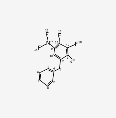 Fc1c(Cc2ccccc2)cc(N(F)F)c(F)c1F